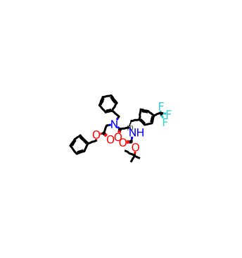 CC(C)(C)OC(=O)N[C@H](Cc1ccc(C(F)(F)F)cc1)C(=O)N(CC(=O)OCc1ccccc1)Cc1ccccc1